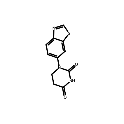 O=C1CCN(c2ccc3ncsc3c2)C(=O)N1